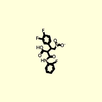 O=C(O)C(C(=O)Nc1ccccc1F)C(C[N+](=O)[O-])c1ccc(F)c(F)c1